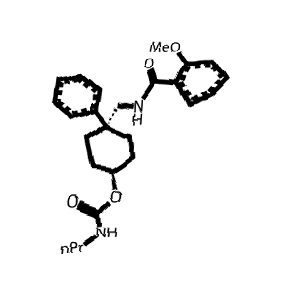 CCCNC(=O)O[C@H]1CC[C@@](CNC(=O)c2ccccc2OC)(c2ccccc2)CC1